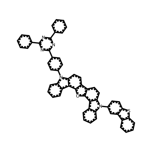 c1ccc(-c2nc(-c3ccccc3)nc(-c3ccc(-n4c5ccccc5c5c6oc7c(ccc8c7c7ccccc7n8-c7ccc8sc9ccccc9c8c7)c6ccc54)cc3)n2)cc1